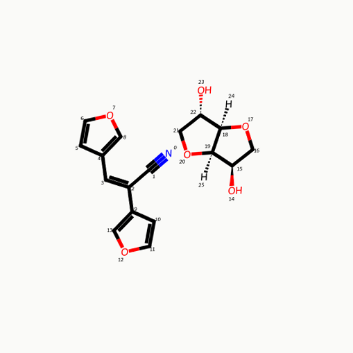 N#C/C(=C\c1ccoc1)c1ccoc1.O[C@@H]1CO[C@H]2[C@@H]1OC[C@@H]2O